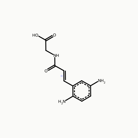 Nc1ccc(N)c(/C=C/C(=O)NCC(=O)O)c1